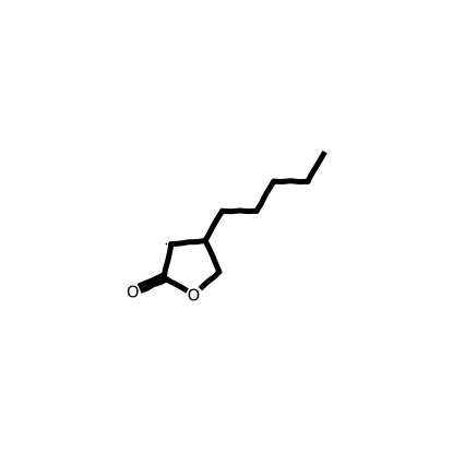 CCCCCC1[CH]C(=O)OC1